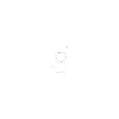 CC(CCl)N(C)c1cc(Br)c(C(C)(F)F)cc1N